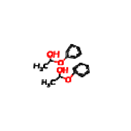 CC(O)Oc1ccccc1.CC(O)Oc1ccccc1